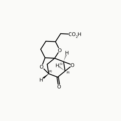 O=C(O)CC1CCC2O[C@@H]3CC2(O1)[C@H]1O[C@H]1C3=O